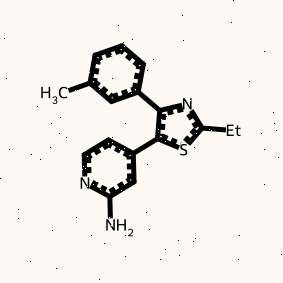 CCc1nc(-c2cccc(C)c2)c(-c2ccnc(N)c2)s1